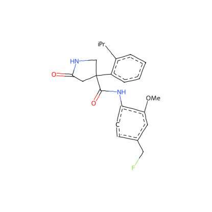 COc1cc(CF)ccc1NC(=O)C1(c2ccccc2C(C)C)CNC(=O)C1